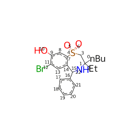 CCCCC1(CC)CS(=O)(=O)c2cc(O)c(Br)cc2C(c2ccccc2)N1